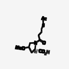 COC1C[C@@H](C(=O)O)N(C(=O)CCCSC(C)=O)C1